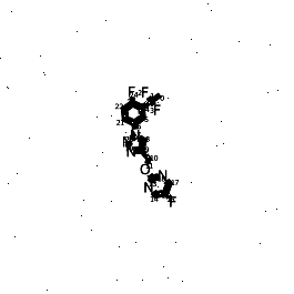 CC(F)(F)c1cc(-n2cc(COc3ncc(F)cn3)nn2)ccc1F